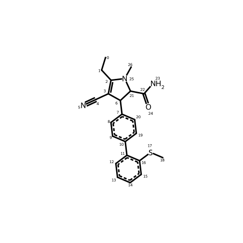 CCC1=C(C#N)C(c2ccc(-c3ccccc3SC)cc2)C(C(N)=O)N1C